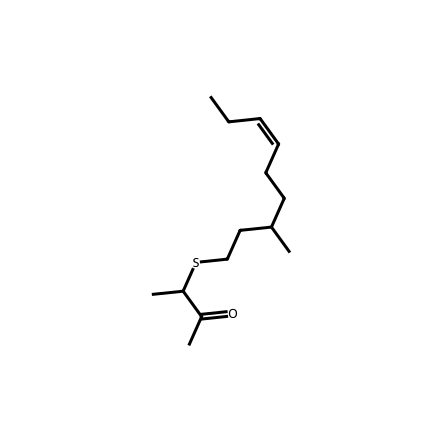 CC/C=C\CCC(C)CCSC(C)C(C)=O